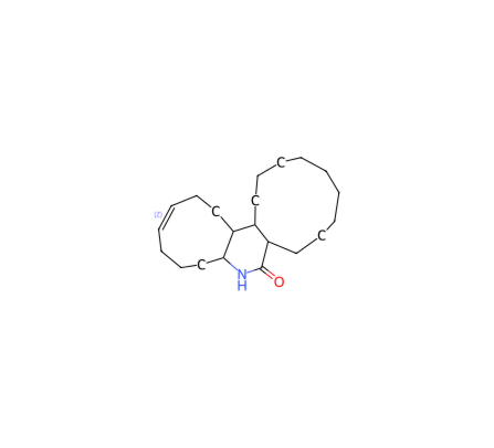 O=C1NC2CCC/C=C\CCC2C2CCCCCCCCCC12